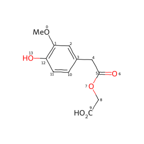 COc1cc(CC(=O)OCC(=O)O)ccc1O